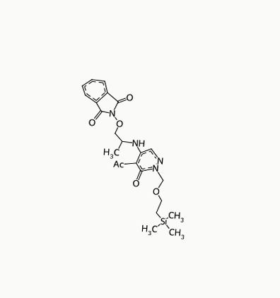 CC(=O)c1c(NC(C)CON2C(=O)c3ccccc3C2=O)cnn(COCC[Si](C)(C)C)c1=O